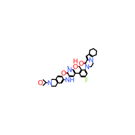 Cn1cc(-c2cc(F)cc(N3CCn4c(cc5c4CCCC5)C3=O)c2CO)cc(Nc2ccc3c(c2)CCN(C2COC2)C3)c1=O